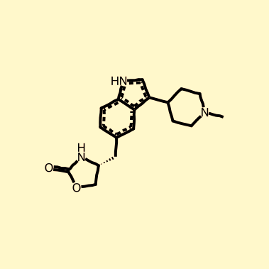 CN1CCC(c2c[nH]c3ccc(C[C@@H]4COC(=O)N4)cc23)CC1